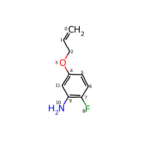 C=CCOc1ccc(F)c(N)c1